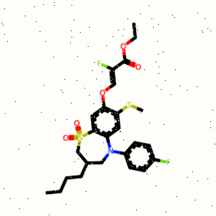 CCCCC1CN(c2ccc(F)cc2)c2cc(SC)c(O/C=C(\F)C(=O)OCC)cc2S(=O)(=O)C1